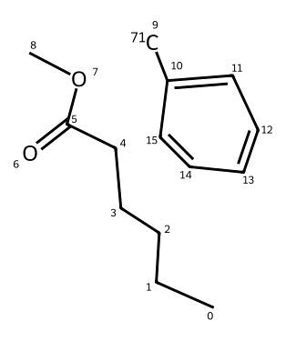 CCCCCC(=O)OC.[71CH3]c1ccccc1